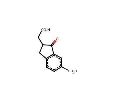 O=C(O)CC1Cc2ccc(C(=O)O)cc2C1=O